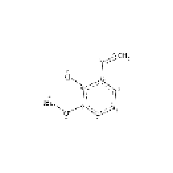 C=[C]c1cccc(OC(C)(C)C)c1Cl